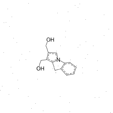 OCc1cn2c(c1CO)Cc1ccccc1-2